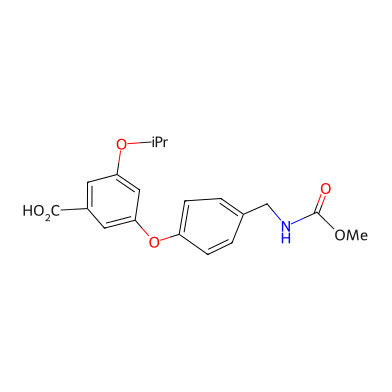 COC(=O)NCc1ccc(Oc2cc(OC(C)C)cc(C(=O)O)c2)cc1